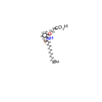 CCC(C)CCCCCCCCCCC(=S)Nc1ccccc1OCCCC(=O)O